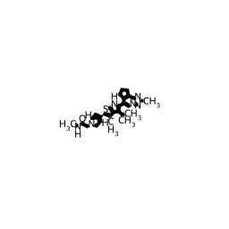 CNC(=O)CN1C[C@@H]2C[C@H]1C[C@H]2c1sc2[nH]c(-c3cn4nc(C)nc4c4c3CCC4)c(C(C)C)c2c1C